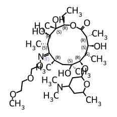 CC[C@H]1OC(=O)[C@H](C)[C@@H](O)[C@H](C)[C@@H](OC2CC(N(C)C)CC(C)O2)[C@@](C)(O)C[C@@H](C)/C(=N\OCOCCOC)[C@H](C)[C@@H](O)[C@]1(C)O